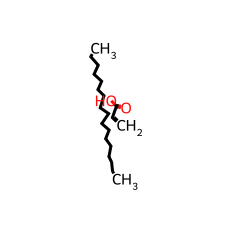 C=CC(=O)O.CCCCCCCCCCCCCCCCC